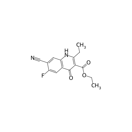 CCOC(=O)c1c(CC)[nH]c2cc(C#N)c(F)cc2c1=O